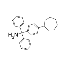 NC(c1ccccc1)(c1ccccc1)c1ccc(C2CCCCCC2)cc1